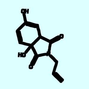 C=CCN1C(=O)C2C=C(O)C=CC2(O)C1=O